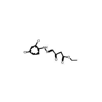 CCOC(=O)CC(=O)C=NNc1ccc(Cl)cc1Cl